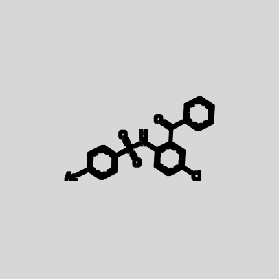 CC(=O)c1ccc(S(=O)(=O)Nc2ccc(Cl)cc2C(=O)c2ccccc2)cc1